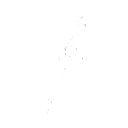 CC(C)(C)ON=CCCOCCOc1c(Cl)cc(OCC=C(Cl)Cl)cc1Cl